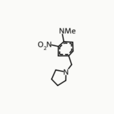 CNc1ccc(CN2CCCC2)cc1[N+](=O)[O-]